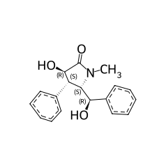 CN1C(=O)[C@H](O)[C@@H](c2ccccc2)[C@H]1[C@H](O)c1ccccc1